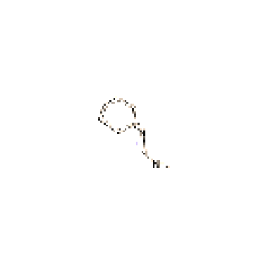 N/N=N/[n+]1ccccc1